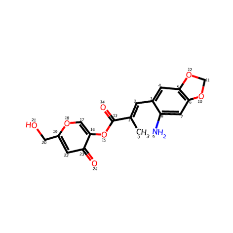 CC(=Cc1cc2c(cc1N)OCO2)C(=O)Oc1coc(CO)cc1=O